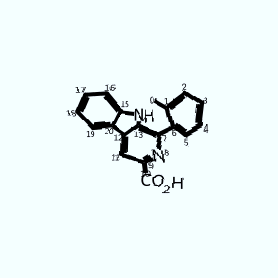 Cc1ccccc1-c1nc(C(=O)O)cc2c1[nH]c1ccccc12